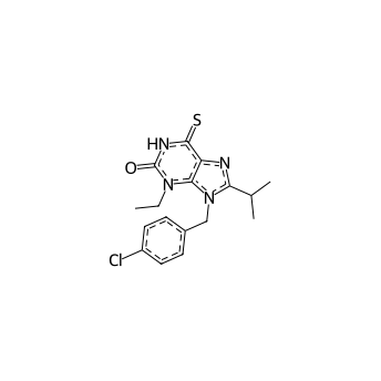 CCn1c(=O)[nH]c(=S)c2nc(C(C)C)n(Cc3ccc(Cl)cc3)c21